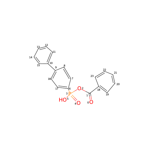 O=C(OP(=O)(O)c1ccc(-c2ccccc2)cc1)c1ccccc1